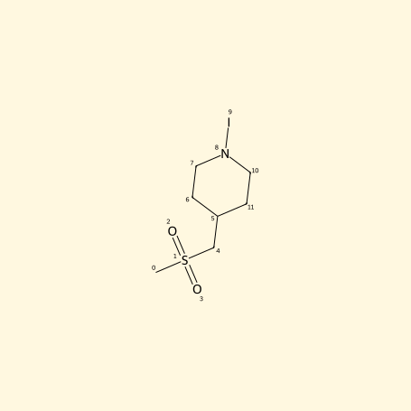 CS(=O)(=O)CC1CCN(I)CC1